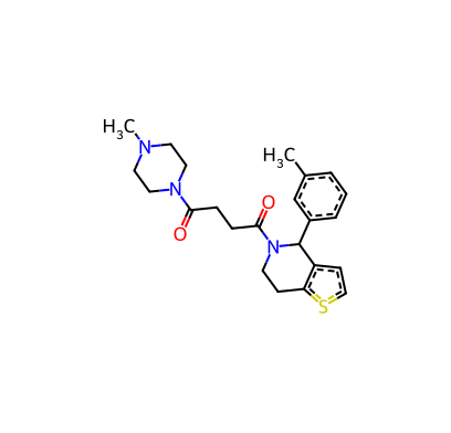 Cc1cccc(C2c3ccsc3CCN2C(=O)CCC(=O)N2CCN(C)CC2)c1